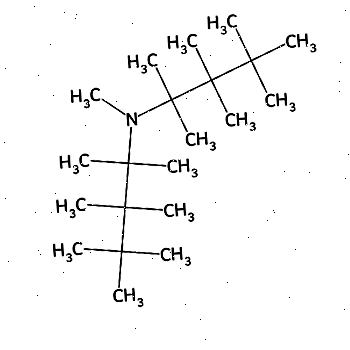 CN(C(C)(C)C(C)(C)C(C)(C)C)C(C)(C)C(C)(C)C(C)(C)C